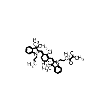 C=CC[N+]1=C(/C=C2\CCCC(/C=C3/N(CCOC(=O)C(=C)C)c4ccccc4C3(C)C)=C2Cl)C(C)(C)c2ccccc21